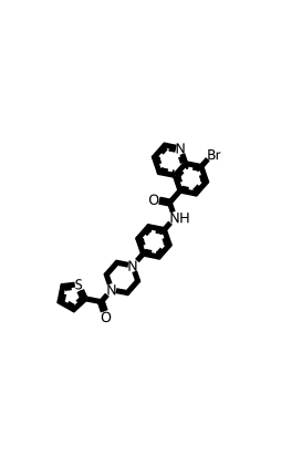 O=C(Nc1ccc(N2CCN(C(=O)c3cccs3)CC2)cc1)c1ccc(Br)c2ncccc12